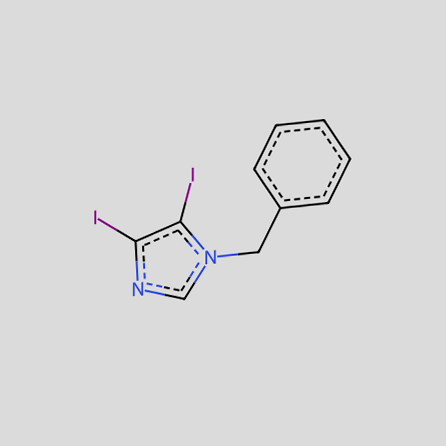 Ic1ncn(Cc2ccccc2)c1I